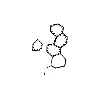 CCCCCOC1CCCc2c1ccc1c2ccc2ccccc21.c1ccoc1